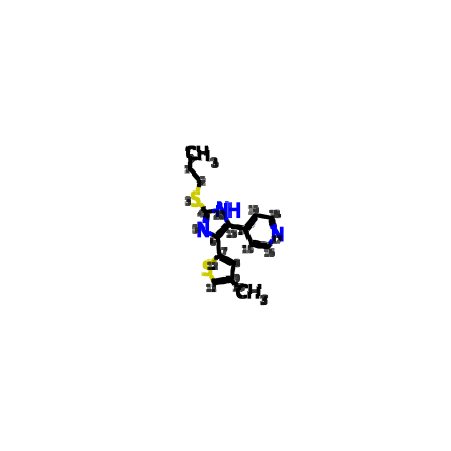 CCCSc1nc(-c2cc(C)cs2)c(-c2ccncc2)[nH]1